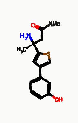 CNC(=O)C[C@](C)(N)c1cc(-c2cccc(O)c2)cs1